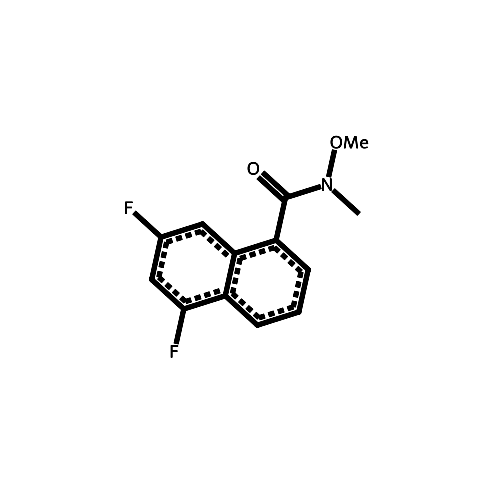 CON(C)C(=O)c1cccc2c(F)cc(F)cc12